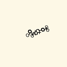 COC(=O)c1ccc(C2=CCC3(C)CN(C(=O)c4ccccc4C=O)CC=C3C2(C)C)cc1